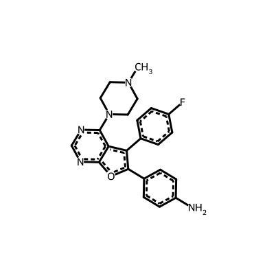 CN1CCN(c2ncnc3oc(-c4ccc(N)cc4)c(-c4ccc(F)cc4)c23)CC1